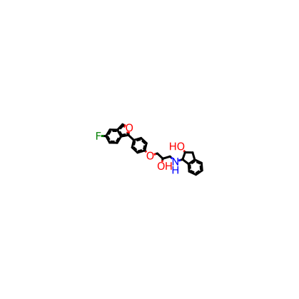 OC(CNC1c2ccccc2CC1O)COc1ccc(-c2occ3cc(F)ccc23)cc1